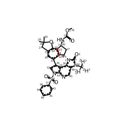 [2H]C([2H])([2H])n1c(=O)n([C@@H]2CC[C@@H](NC(=O)OC)C2)c2c3c(-c4ccc5c(c4)CC(C)(C)O5)cn(S(=O)(=O)c4ccccc4)c3ncc21